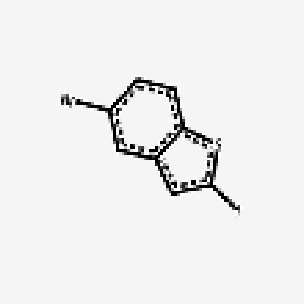 Brc1ccc2sc(I)cc2c1